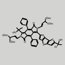 CCCCCCCCCCC(/C=C/N1C(=O)c2c(-c3ccccc3)c3c(c(-c4ccccc4)c2=C1c1cc2sc4cc([C@](C)(CC)CCC)sc4c2s1)C(=O)N(/C=C/C(CCCCCCCCCC)CCCCCCCCCC)C=3C(C)(C)CCC)CCCCCCCCCC